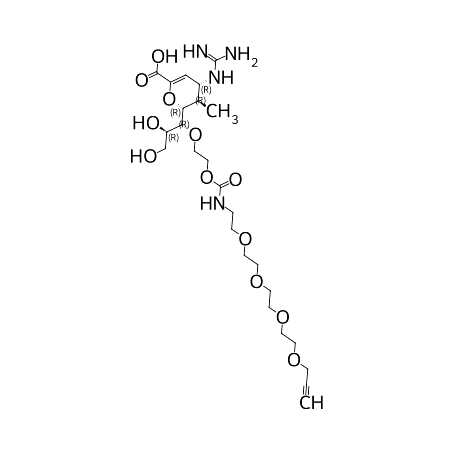 C#CCOCCOCCOCCOCCNC(=O)OCCO[C@@H]([C@@H]1OC(C(=O)O)=C[C@H](NC(=N)N)[C@H]1C)[C@H](O)CO